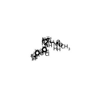 CONC(=O)NCCn1ccc2ncnc(Nc3ccc(Oc4cccc(C(F)(F)F)c4)c(Cl)c3)c21